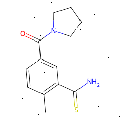 Cc1ccc(C(=O)N2CCCC2)cc1C(N)=S